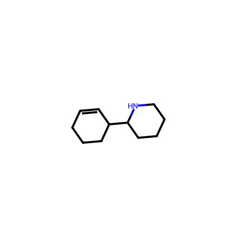 C1=CC(C2CCCCN2)CCC1